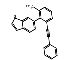 O=C(O)c1cccc(C#Cc2ccccc2)c1-c1ccc2cc[nH]c2c1